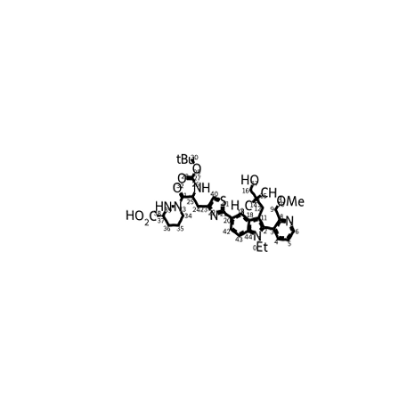 CCn1c(-c2cccnc2COC)c(CC(C)(C)CO)c2cc(-c3nc(CC(NC(=O)OC(C)(C)C)C(=O)N4CCC[C@@H](C(=O)O)N4)cs3)ccc21